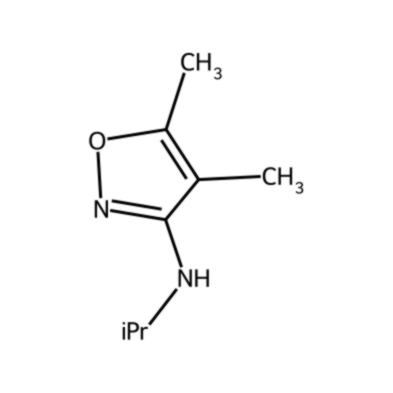 Cc1onc(NC(C)C)c1C